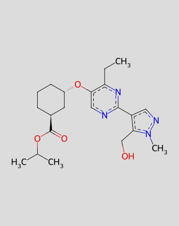 CCc1nc(-c2cnn(C)c2CO)ncc1O[C@H]1CCC[C@H](C(=O)OC(C)C)C1